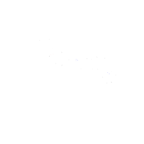 CN(C(=O)c1ccc(OC[C@@H]2CCCO2)cc1)[C@H]1CCc2cc(CN3CCCC3)ccc2C1